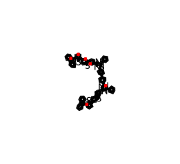 c1ccc(-c2nc(-c3ccc(-c4ccc(-c5nc(-c6ccccc6)nc(-c6ccc7c(c6)sc6cc8sc9c(-n%10c%11ccccc%11c%11ccccc%11%10)cccc9c8cc67)n5)cc4)cc3)nc(-c3ccc4c(c3)sc3cc5c(cc34)sc3c(-n4c6ccccc6c6ccccc64)cccc35)n2)cc1